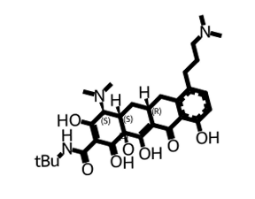 CN(C)CCCc1ccc(O)c2c1C[C@H]1C[C@H]3[C@H](N(C)C)C(O)=C(C(=O)NC(C)(C)C)C(=O)[C@@]3(O)C(O)=C1C2=O